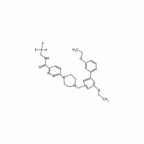 CCOc1cccc(-c2cc(CN3CCN(c4ccc(C(=O)NCC(F)(F)F)nn4)CC3)cc(OCC)c2)c1